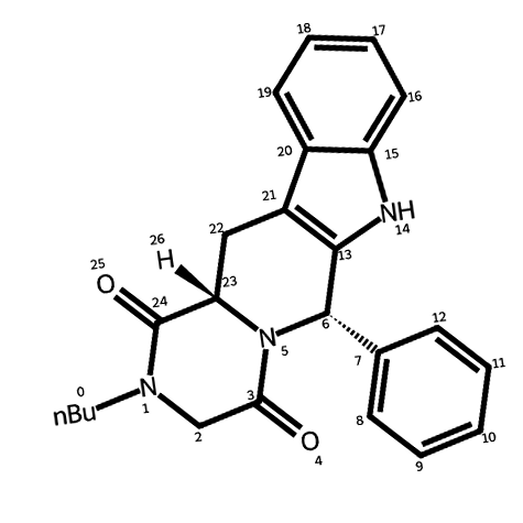 CCCCN1CC(=O)N2[C@@H](c3ccccc3)c3[nH]c4ccccc4c3C[C@H]2C1=O